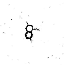 CC(=O)N1C[C@H](C)Cc2ccc(F)cc21